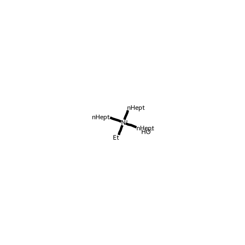 CCCCCCC[N+](CC)(CCCCCCC)CCCCCCC.[OH-]